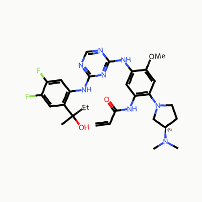 C=CC(=O)Nc1cc(Nc2ncnc(Nc3cc(F)c(F)cc3C(C)(O)CC)n2)c(OC)cc1N1CC[C@@H](N(C)C)C1